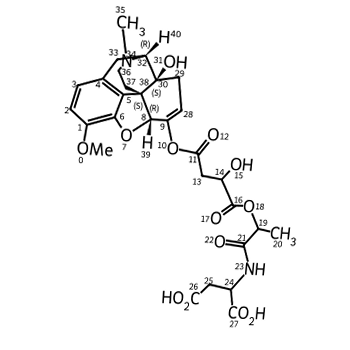 COc1ccc2c3c1O[C@H]1C(OC(=O)CC(O)C(=O)OC(C)C(=O)NC(CC(=O)O)C(=O)O)=CC[C@@]4(O)[C@@H](C2)N(C)CC[C@]314